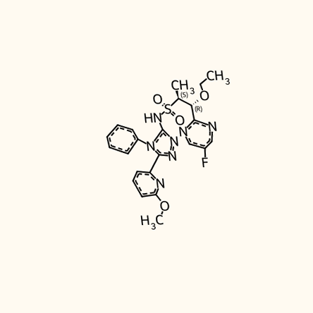 CCO[C@H](c1ncc(F)cn1)[C@H](C)S(=O)(=O)Nc1nnc(-c2cccc(OC)n2)n1-c1ccccc1